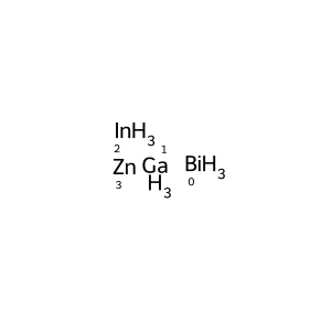 [BiH3].[GaH3].[InH3].[Zn]